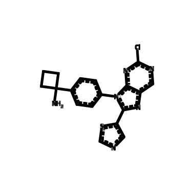 NC1(c2ccc(-n3c(-c4cncs4)nc4cnc(Cl)nc43)cc2)CCC1